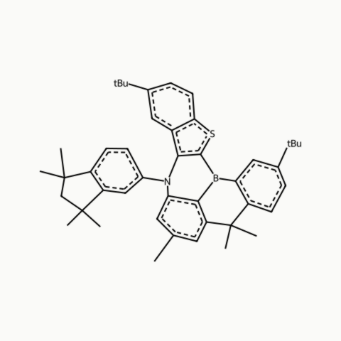 Cc1cc2c3c(c1)C(C)(C)c1ccc(C(C)(C)C)cc1B3c1sc3ccc(C(C)(C)C)cc3c1N2c1ccc2c(c1)C(C)(C)CC2(C)C